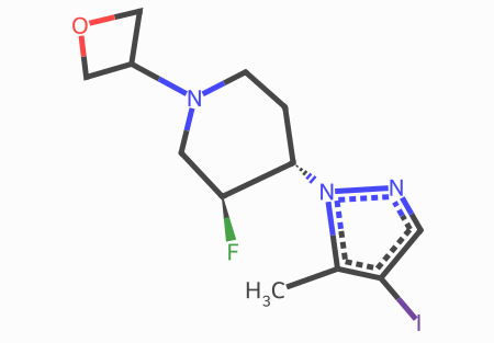 Cc1c(I)cnn1[C@H]1CCN(C2COC2)C[C@@H]1F